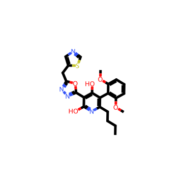 CCCCc1nc(O)c(-c2nnc(Cc3cncs3)o2)c(O)c1-c1c(OC)cccc1OC